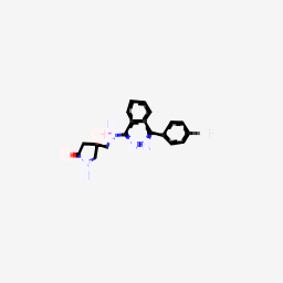 O=C1C[C@@](O)(CNc2nnc(-c3ccc(C(F)(F)F)cc3)c3ccccc23)CN1